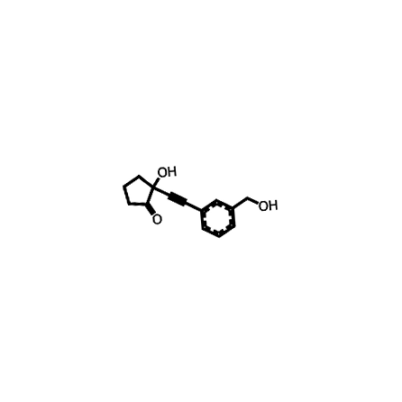 O=C1CCCC1(O)C#Cc1cccc(CO)c1